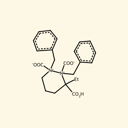 CCC1(C(=O)O)CCC[N+](Cc2ccccc2)(C(=O)[O-])[N+]1(Cc1ccccc1)C(=O)[O-]